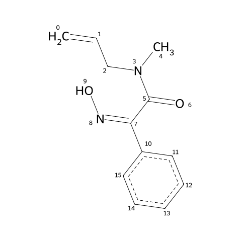 C=CCN(C)C(=O)C(=NO)c1ccccc1